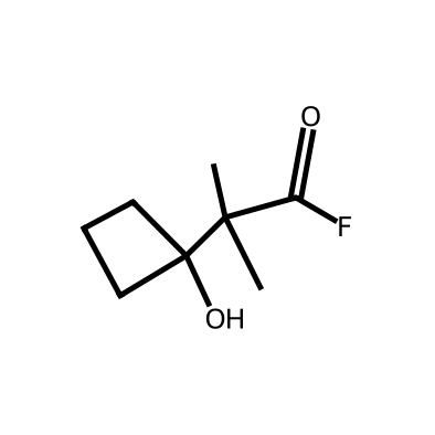 CC(C)(C(=O)F)C1(O)CCC1